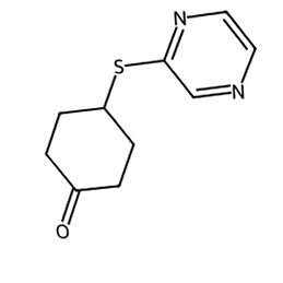 O=C1CCC(Sc2cnccn2)CC1